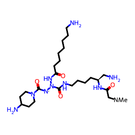 CNCC(=O)N[C@H](CN)CCCCNC(=O)N([N]C(=O)N1CCC(N)CC1)NC(=O)CCCCCCCN